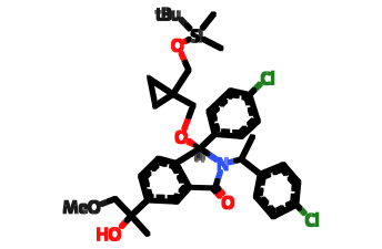 COCC(C)(O)c1ccc2c(c1)C(=O)N(C(C)c1ccc(Cl)cc1)[C@@]2(OCC1(CO[Si](C)(C)C(C)(C)C)CC1)c1ccc(Cl)cc1